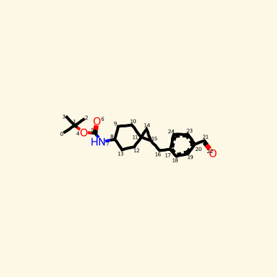 CC(C)(C)OC(=O)NC1CCC2(CC1)CC2Cc1ccc(C=O)cc1